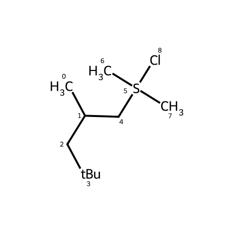 CC(CC(C)(C)C)CS(C)(C)Cl